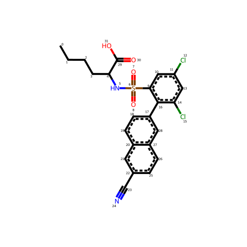 CCCCC(NS(=O)(=O)c1cc(Cl)cc(Cl)c1-c1ccc2cc(C#N)ccc2c1)C(=O)O